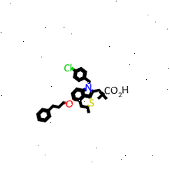 CC1Cc2c(OCCCc3ccccc3)ccc3c2c(c(CC(C)(C)C(=O)O)n3Cc2ccc(Cl)cc2)S1